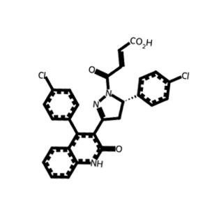 O=C(O)/C=C/C(=O)N1N=C(c2c(-c3ccc(Cl)cc3)c3ccccc3[nH]c2=O)C[C@H]1c1ccc(Cl)cc1